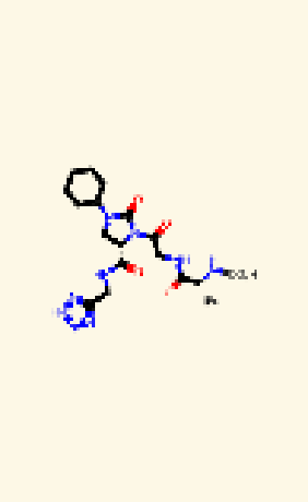 CC[C@H](C)[C@H](NC(=O)O)C(=O)NCC(=O)N1C(=O)N(C2CCCCC2)C[C@H]1C(=O)NCc1nn[nH]n1